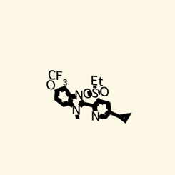 CCS(=O)(=O)c1cc(C2CC2)cnc1-c1nc2cc(OC(F)(F)F)ccc2n1C